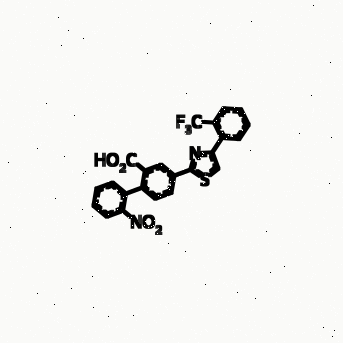 O=C(O)c1cc(-c2nc(-c3ccccc3C(F)(F)F)cs2)ccc1-c1ccccc1[N+](=O)[O-]